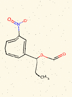 CCC(O[C]=O)c1cccc([N+](=O)[O-])c1